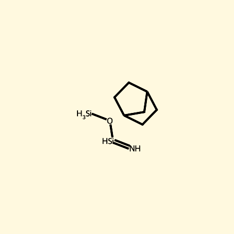 C1CC2CCC1C2.N=[SiH]O[SiH3]